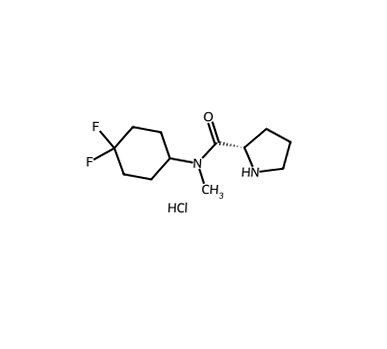 CN(C(=O)[C@@H]1CCCN1)C1CCC(F)(F)CC1.Cl